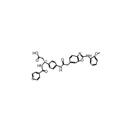 COc1ccccc1Nc1nc2ccc(CC(=O)Nc3ccc([C@H](CC(=O)O)NC(=O)c4ccncc4)cc3)cc2o1